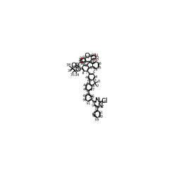 CC1(C)c2ccc(-c3cccc4c3-c3ccccc3C43c4ccccc4Oc4ccc(B5OC(C)(C)C(C)(C)O5)cc43)cc2-c2ccc(-c3cccc(-c4cc(-c5ccccc5)nc(Cl)n4)c3)cc21